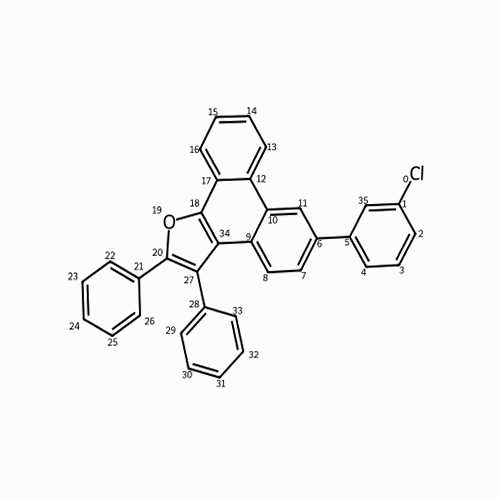 Clc1cccc(-c2ccc3c(c2)c2ccccc2c2oc(-c4ccccc4)c(-c4ccccc4)c32)c1